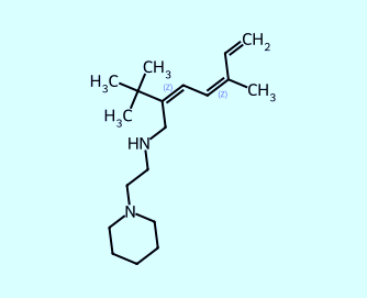 C=C/C(C)=C\C=C(/CNCCN1CCCCC1)C(C)(C)C